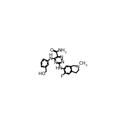 CN1CCc2cc(F)c(Nc3nnc(C(N)=O)c(Nc4cccc(CO)c4)n3)cc2C1